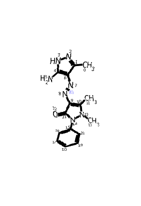 Cc1n[nH]c(N)c1/N=N/c1c(C)n(C)n(-c2ccccc2)c1=O